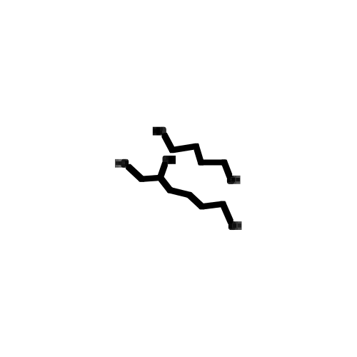 OCCCCC(O)CO.OCCCCO